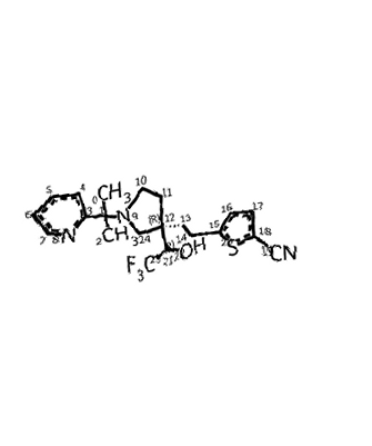 CC(C)(c1ccccn1)N1CC[C@@](CCc2ccc(C#N)s2)([C@@H](O)C(F)(F)F)C1